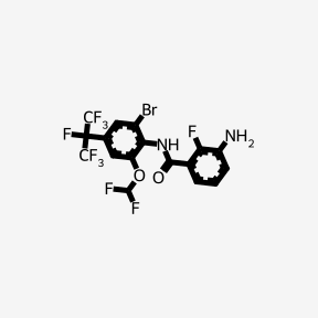 Nc1cccc(C(=O)Nc2c(Br)cc(C(F)(C(F)(F)F)C(F)(F)F)cc2OC(F)F)c1F